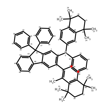 Cc1c(-c2cc3c(cc2N(c2ccccc2)c2ccc4c(c2)C(C)(C)CCC4(C)C)C(c2ccccc2)(c2ccccc2)c2ccccc2-3)ccc2c1C(C)(C)CCC2(C)C